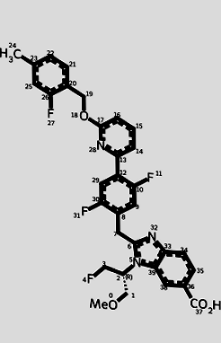 COC[C@H](CF)n1c(Cc2cc(F)c(-c3cccc(OCc4ccc(C)cc4F)n3)cc2F)nc2ccc(C(=O)O)cc21